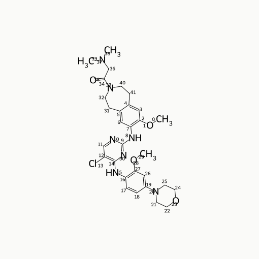 COc1cc2c(cc1Nc1ncc(Cl)c(Nc3ccc(N4CCOCC4)cc3OC)n1)CCN(C(=O)CN(C)C)CC2